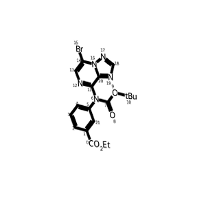 CCOC(=O)c1cccc(N(C(=O)OC(C)(C)C)c2ncc(Br)n3ncnc23)c1